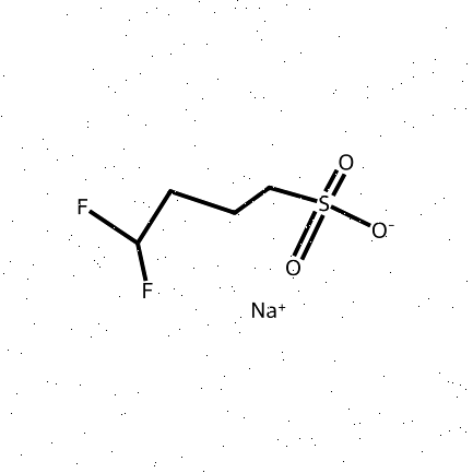 O=S(=O)([O-])CCCC(F)F.[Na+]